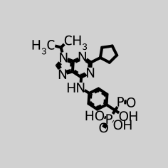 CC(C)n1cnc2c(Nc3ccc(C(O)(P=O)P(=O)(O)O)cc3)nc(C3CCCC3)nc21